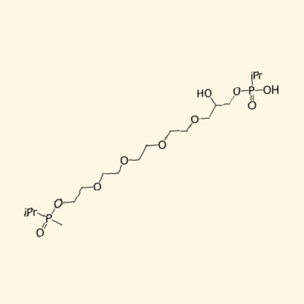 CC(C)P(C)(=O)OCCOCCOCCOCCOCC(O)COP(=O)(O)C(C)C